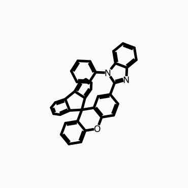 c1ccc(-n2c(-c3ccc4c(c3)C3(c5ccccc5O4)c4ccccc4-c4ccccc43)nc3ccccc32)cc1